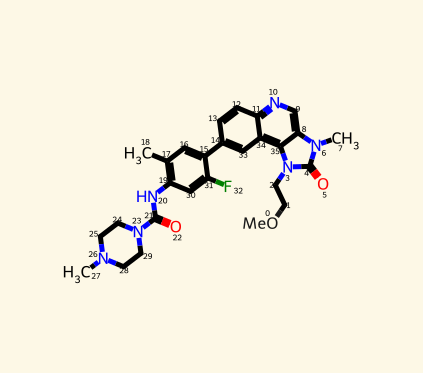 COCCn1c(=O)n(C)c2cnc3ccc(-c4cc(C)c(NC(=O)N5CCN(C)CC5)cc4F)cc3c21